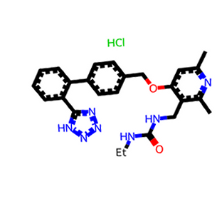 CCNC(=O)NCc1c(OCc2ccc(-c3ccccc3-c3nnn[nH]3)cc2)cc(C)nc1C.Cl